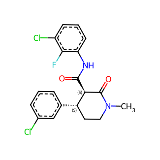 CN1CC[C@H](c2cccc(Cl)c2)[C@@H](C(=O)Nc2cccc(Cl)c2F)C1=O